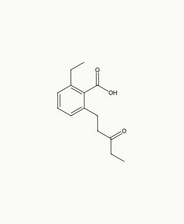 CCC(=O)CCc1cccc(CC)c1C(=O)O